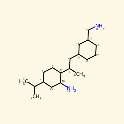 CC(C)C1CCC(C(C)CC2CCCC(CN)C2)C(N)C1